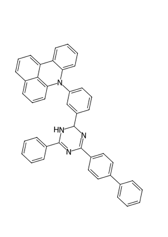 c1ccc(C2=NC(c3ccc(-c4ccccc4)cc3)=NC(c3cccc(N4c5ccccc5-c5cccc6cccc4c56)c3)N2)cc1